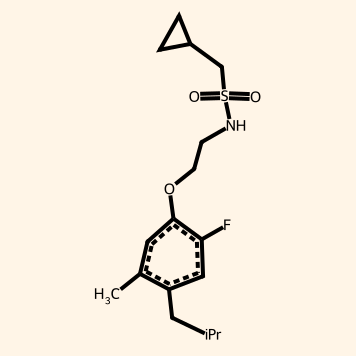 Cc1cc(OCCNS(=O)(=O)CC2CC2)c(F)cc1CC(C)C